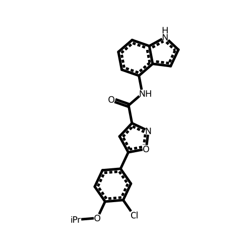 CC(C)Oc1ccc(-c2cc(C(=O)Nc3cccc4[nH]ccc34)no2)cc1Cl